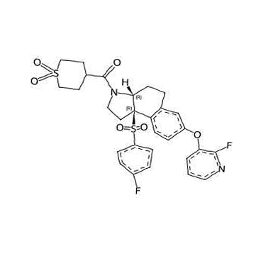 O=C(C1CCS(=O)(=O)CC1)N1CC[C@@]2(S(=O)(=O)c3ccc(F)cc3)c3ccc(Oc4cccnc4F)cc3CC[C@@H]12